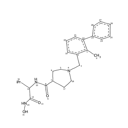 Cc1c(CN2CCC(C(=O)NC(C(=O)NO)C(C)C)CC2)cccc1-c1ccccc1